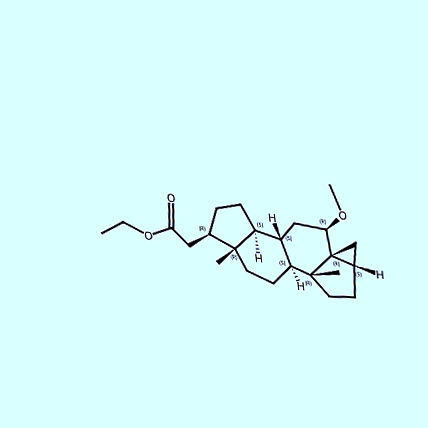 CCOC(=O)C[C@H]1CC[C@H]2[C@@H]3C[C@@H](OC)[C@]45C[C@@H]4CC[C@]5(C)[C@H]3CC[C@]12C